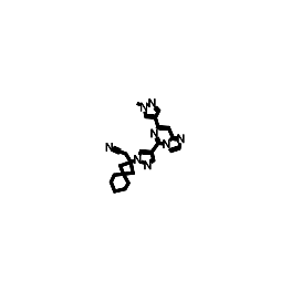 Cn1cc(-c2cc3nccn3c(-c3cnn(C4(CC#N)CC5(CCCCC5)C4)c3)n2)cn1